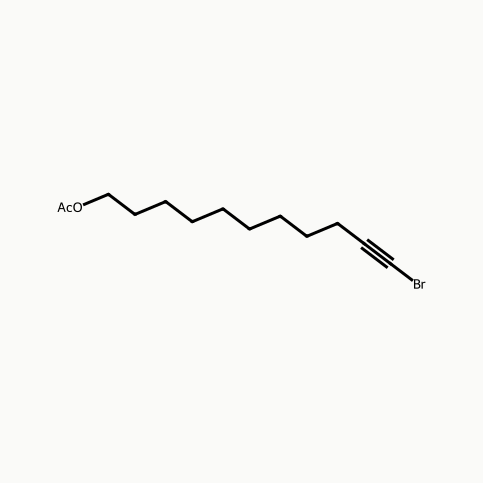 CC(=O)OCCCCCCCCCC#CBr